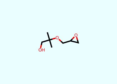 CC(C)(CO)OCC1CO1